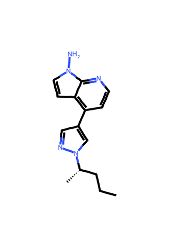 CCC[C@H](C)n1cc(-c2ccnc3c2ccn3N)cn1